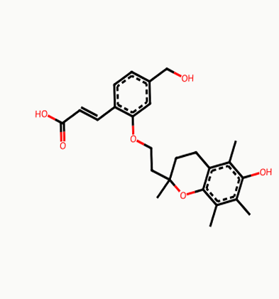 Cc1c(C)c2c(c(C)c1O)CCC(C)(CCOc1cc(CO)ccc1/C=C/C(=O)O)O2